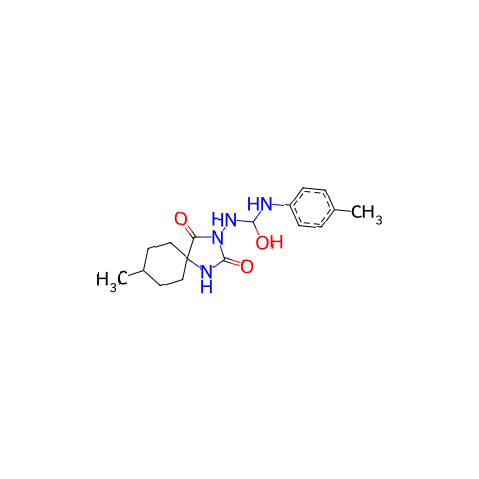 Cc1ccc(NC(O)NN2C(=O)NC3(CCC(C)CC3)C2=O)cc1